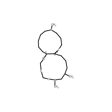 CC1CCC[C@H]2CCCCN(C)CCCCC[C@@H]2CCCCCN(C)C1